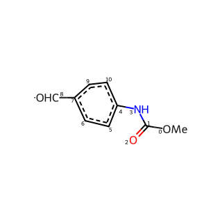 COC(=O)Nc1ccc([C]=O)cc1